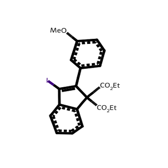 CCOC(=O)C1(C(=O)OCC)C(c2cccc(OC)c2)=C(I)c2ccccc21